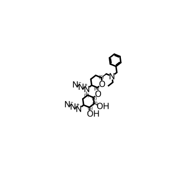 CCN(Cc1ccccc1)C[C@@H]1CCC(N=[N+]=[N-])[C@@H](O[C@H]2[C@H](O)[C@@H](O)C(N=[N+]=[N-])C[C@@H]2C)O1